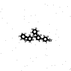 Brc1ccc(-c2ccc3c(c2)c2ccccc2n3-c2ccc3sc4ccccc4c3c2)cc1